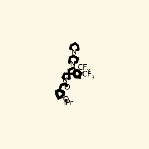 CC(C)Oc1cccc(CC(=O)N2CCC(CCN3CCC(N4CCCCC4)CC3)(c3ccc(C(F)(F)F)c(C(F)(F)F)c3)C2)c1